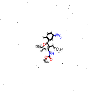 Cc1ccc(N)cc1C(O[Si](C)(C)C(C)(C)C)C(CNC(=O)OC(C)(C)C)CC(=O)O